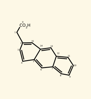 O=C(O)Cc1ccc2cc3ccccc3cc2c1